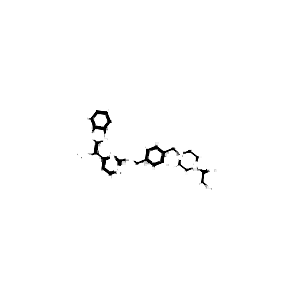 N#CC(=C1Nc2ccccc2S1)c1ccnc(OCc2ccc(CN3CCN(C(=O)CN)CC3)cc2)n1